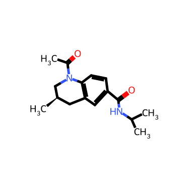 CC(=O)N1C[C@H](C)Cc2cc(C(=O)NC(C)C)ccc21